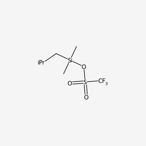 CC(C)C[Si](C)(C)OS(=O)(=O)C(F)(F)F